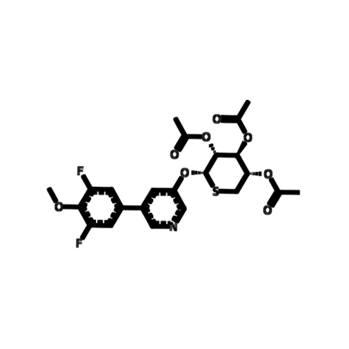 COc1c(F)cc(-c2cncc(O[C@H]3SC[C@@H](OC(C)=O)[C@H](OC(C)=O)[C@H]3OC(C)=O)c2)cc1F